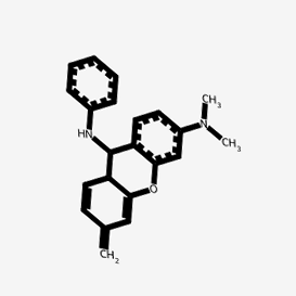 C=C1C=CC2C(=C1)Oc1cc(N(C)C)ccc1C2Nc1ccccc1